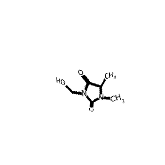 C[C]1C(=O)N(CO)C(=O)N1C